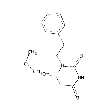 COC.O=C1CC(=O)N(CCc2ccccc2)C(=O)N1